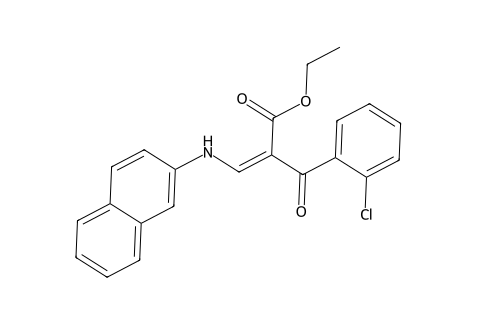 CCOC(=O)C(=CNc1ccc2ccccc2c1)C(=O)c1ccccc1Cl